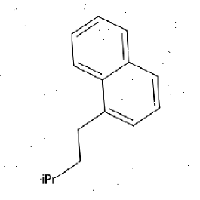 C[C](C)CCc1cccc2ccccc12